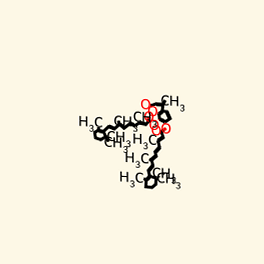 CC1=C(/C=C/C(C)=C/C=C/C(C)=C/C(=O)Oc2ccc3c(C)cc(=O)oc3c2OC(=O)/C=C(C)/C=C/C=C(C)/C=C/C2=C(C)CCCC2(C)C)C(C)(C)CCC1